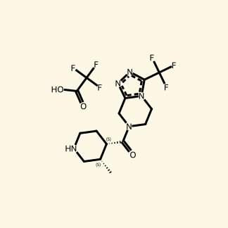 C[C@@H]1CNCC[C@@H]1C(=O)N1CCn2c(nnc2C(F)(F)F)C1.O=C(O)C(F)(F)F